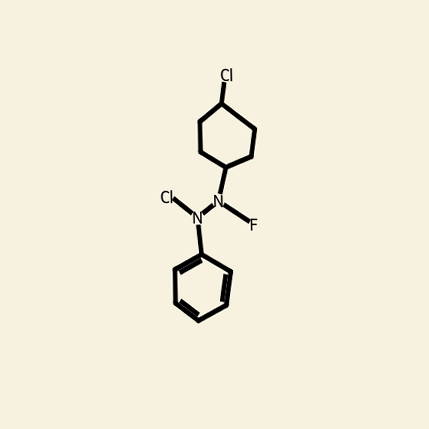 FN(C1CCC(Cl)CC1)N(Cl)c1ccccc1